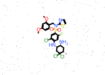 COc1ccc(CN(c2nccs2)S(=O)(=O)c2cc(Cl)c(N[C@H]3CC(Cl)(Cl)[C@@H](C)C[C@@H]3N)cc2F)c(OC)c1